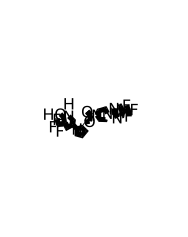 O=C(OC[C@@H]1CCCN1C1=CNC(O)C(C(F)(F)F)=C1)N1CCN(c2ncc(C(F)(F)F)cn2)CC1